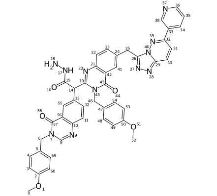 COc1ccc(Cn2cnc3ccc(C(C(=O)NN)c4nc5ccc(Cc6nnc7ccc(-c8cccnc8)nn67)cc5c(=O)n4Cc4ccc(OC)cc4)cc3c2=O)cc1